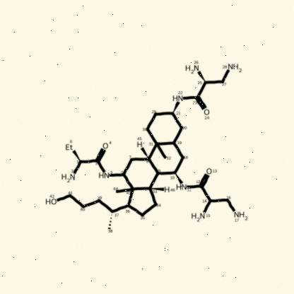 CC[C@H](N)C(=O)NC1C[C@H]2C([C@H](NC(=O)C(N)CN)CC3C[C@H](NC(=O)[C@@H](N)CN)CCC32C)[C@@H]2CCC([C@H](C)CCCO)C12C